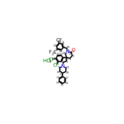 Cl.O=C1CCC(CCN2CCC(c3ccccc3)CC2)(c2ccc(Cl)c(Cl)c2)CN1Cc1cc(C(F)(F)F)cc(C(F)(F)F)c1